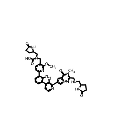 COc1nc(-c2cccc(-c3ccnc(-c4cc5c(=O)n(C)c(CNCC6CCC(=O)N6)nn5c4)c3Cl)c2Cl)ccc1CN(CC1CCC(=O)N1)C(=O)O